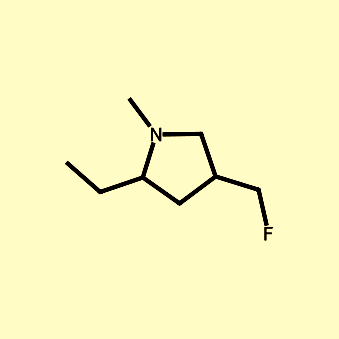 CCC1CC(CF)CN1C